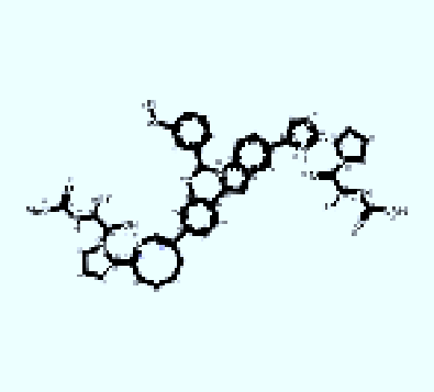 CCOc1cccc(C2Oc3cc(/C4=C/N=C(/[C@@H]5CCCN5C(O)[C@@H](NC(=O)OC)C(C)C)CCCC4)ccc3-c3cc4cc(-c5cnc([C@@H]6CCCN6C(=O)[C@@H](NC(=O)OC)C(C)C)[nH]5)ccc4n32)c1